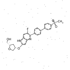 CS(=O)(=O)c1ccc(-c2ccc(-c3nc4cc(O[C@@H]5CO[C@H](CO)C5)[nH]c4cc3F)cc2)cc1